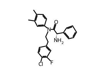 Cc1ccc(N(CCc2ccc(Cl)c(F)c2)C(=O)[C@@H](N)c2ccccc2)cc1C